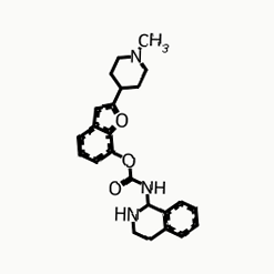 CN1CCC(c2cc3cccc(OC(=O)NC4NCCc5ccccc54)c3o2)CC1